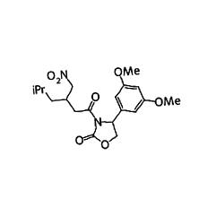 COc1cc(OC)cc(C2COC(=O)N2C(=O)CC(CC(C)C)C[N+](=O)[O-])c1